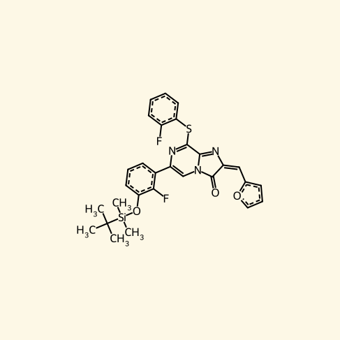 CC(C)(C)[Si](C)(C)Oc1cccc(C2=CN3C(=O)/C(=C\c4ccco4)N=C3C(Sc3ccccc3F)=N2)c1F